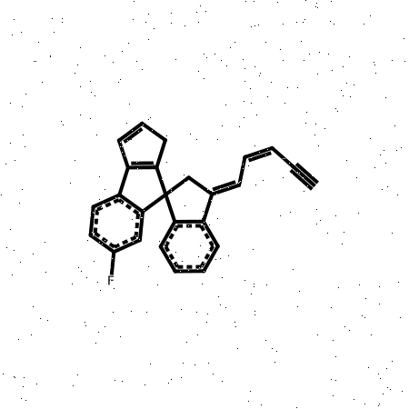 C#C/C=C\C=C1/CC2(C3=C(C=CC3)c3ccc(F)cc32)c2ccccc21